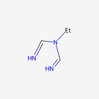 CCN(C=N)C=N